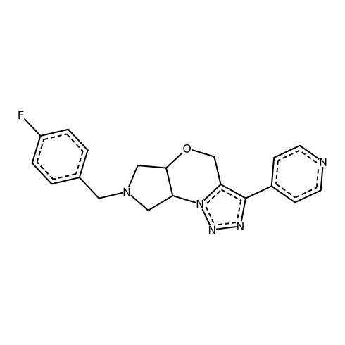 Fc1ccc(CN2CC3OCc4c(-c5ccncc5)nnn4C3C2)cc1